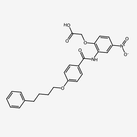 O=C(O)COc1ccc([N+](=O)[O-])cc1NC(=O)c1ccc(OCCCCc2ccccc2)cc1